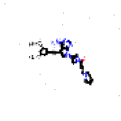 COc1cc(C#Cc2cn(C3CN(C(=O)C=CCN4CCCC4)C3)c3ncnc(N)c23)cc(OC)c1